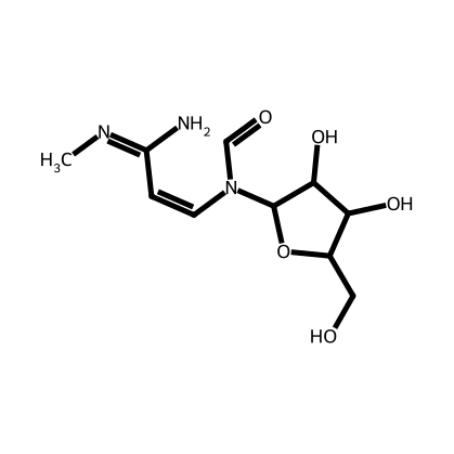 C/N=C(N)\C=C/N(C=O)C1OC(CO)C(O)C1O